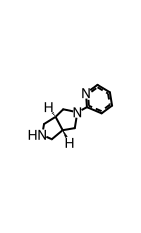 c1ccc(N2C[C@@H]3CNC[C@H]3C2)nc1